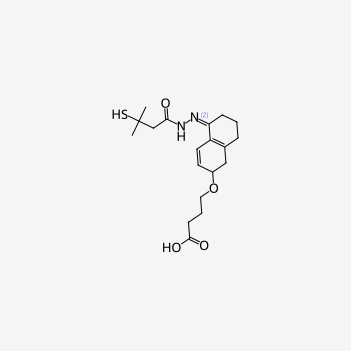 CC(C)(S)CC(=O)N/N=C1/CCCC2=C1C=CC(OCCCC(=O)O)C2